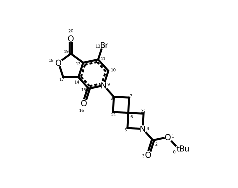 CC(C)(C)OC(=O)N1CC2(CC(n3cc(Br)c4c(c3=O)COC4=O)C2)C1